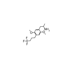 COc1cc(CC(C)N)c(OC)cc1CCCC(F)(F)F